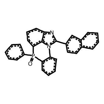 O=P1(c2ccccc2)c2ccccc2-n2c(-c3ccc4ccccc4c3)nc3cccc1c32